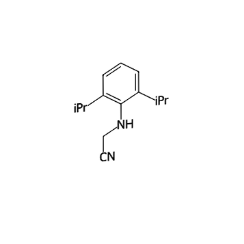 CC(C)c1cccc(C(C)C)c1NCC#N